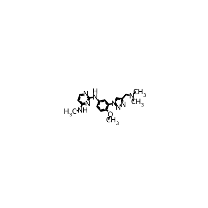 CNc1ccnc(Nc2ccc(OC)c(-n3cc(CN(C)C)nn3)c2)n1